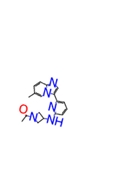 CC(=O)N1CC(Nc2cccc(-c3cnc4ccc(C)cn34)n2)C1